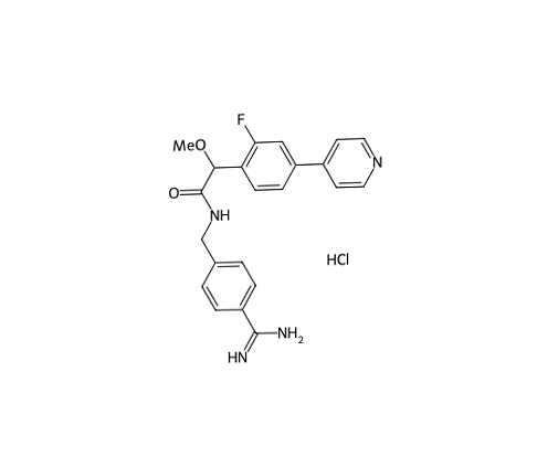 COC(C(=O)NCc1ccc(C(=N)N)cc1)c1ccc(-c2ccncc2)cc1F.Cl